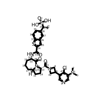 CN(C)c1cncc(C2CN(C(=O)[C@@H]3CC[C@@H]4CCC[C@H](NC(=O)c5cc6cc([C@H](F)P(=O)(O)O)ccc6s5)C(=O)N43)C2)c1Cl